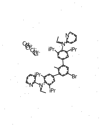 CC=[N+](c1ccccn1)c1c(C(C)C)cc(-c2cc(Br)cc(-c3cc(C(C)C)c([N+](=CC)c4ccccn4)c(C(C)C)c3)c2C)cc1C(C)C.[Cl-].[Cl-].[Cl-].[Cl-].[Cu].[Cu]